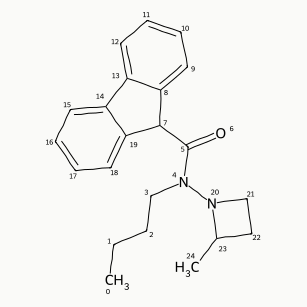 CCCCN(C(=O)C1c2ccccc2-c2ccccc21)N1CCC1C